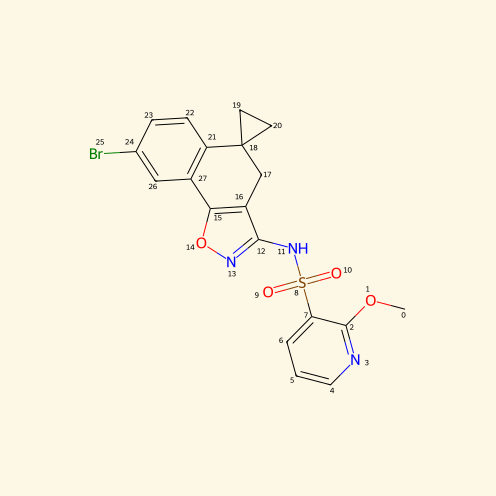 COc1ncccc1S(=O)(=O)Nc1noc2c1CC1(CC1)c1ccc(Br)cc1-2